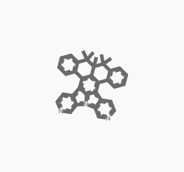 CC1(C)c2ccccc2-c2c3c(c4c5ccncc5n5c6cnccc6c2c45)-c2ccccc2C(C)(C)C31C